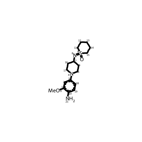 COc1cc(N2CCC(N=S3(=O)CCCCC3)CC2)ccc1N